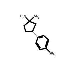 Bc1ccc([C@@H]2CCC(N)(N)C2)cc1